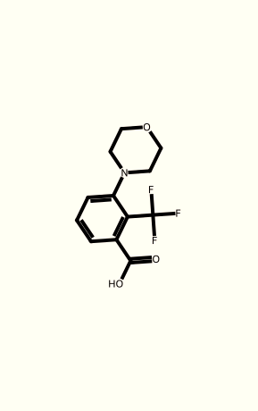 O=C(O)c1cccc(N2CCOCC2)c1C(F)(F)F